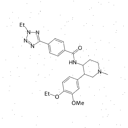 CCOc1ccc(C2CN(C)CCC2NC(=O)c2ccc(-c3nnn(CC)n3)cc2)cc1OC